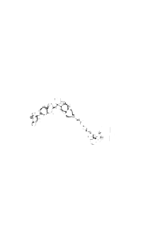 CCOP(=O)(OCC)OCCSSCCOc1ccc2cc(C(C)C(=O)Oc3ccc(-c4cc(=S)ss4)cc3)ccc2c1